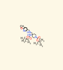 COc1ccc(CNCC2(NC(=O)OC(C)(C)C)CCN(C(=O)OC(C)(C)C)CC2)cn1